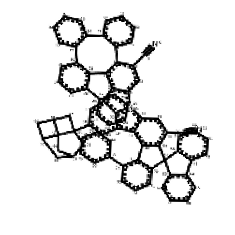 N#Cc1cc2c(c3c1-c1ccccc1-c1ccccc1-c1cccc(-c4ccccc4)c1-3)c1cc(C34CC5CC6CC(C3)C64C5)cc3c4c5c(c(C#N)cc4n2c13)C1(c2ccccc2-c2ccccc21)c1cccc(-c2ccccc2)c1-5